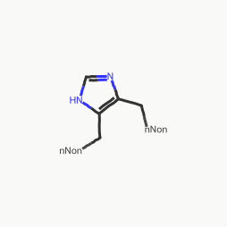 CCCCCCCCCCc1nc[nH]c1CCCCCCCCCC